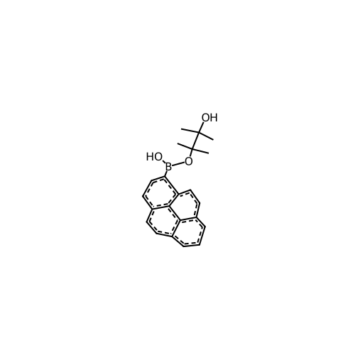 CC(C)(O)C(C)(C)OB(O)c1ccc2ccc3cccc4ccc1c2c34